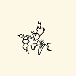 CCN(CC)S(=O)(=O)c1ccccc1Nc1nc(Nc2cc3c(cc2OC)CCN(C)C3)nc2[nH]ccc12